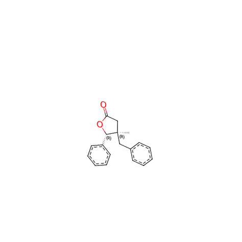 C[C@@]1(Cc2ccccc2)CC(=O)O[C@H]1c1ccccc1